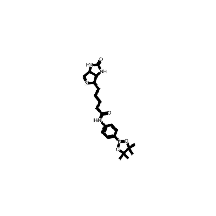 CC1(C)OB(c2ccc(NC(=O)CCCCC3SCC4NC(=O)NC43)cc2)OC1(C)C